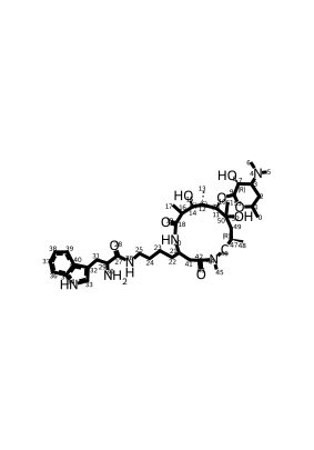 CC1CC(N(C)C)[C@@H](O)C(O[C@@H]2[C@@H](C)[C@H](O)C(C)C(=O)NC(CCCCNC(=O)C(N)Cc3c[nH]c4ccccc34)CC(=O)N(C)C[C@H](C)CC2(C)O)O1